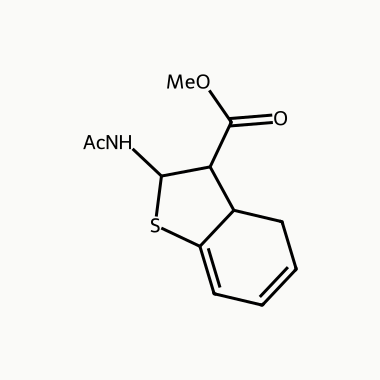 COC(=O)C1C(NC(C)=O)SC2=CC=CCC21